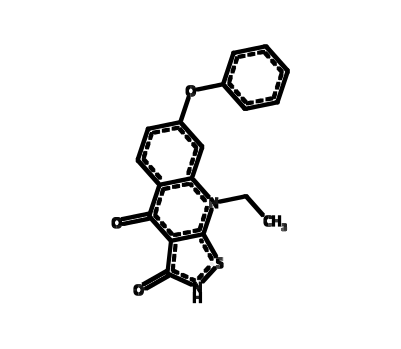 CCn1c2cc(Oc3ccccc3)ccc2c(=O)c2c(=O)[nH]sc21